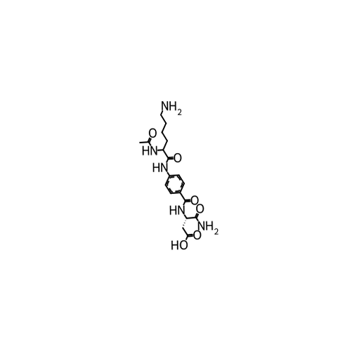 CC(=O)NC(CCCCN)C(=O)Nc1ccc(C(=O)N[C@@H](CC(=O)O)C(N)=O)cc1